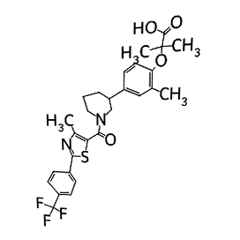 Cc1cc(C2CCCN(C(=O)c3sc(-c4ccc(C(F)(F)F)cc4)nc3C)C2)ccc1OC(C)(C)C(=O)O